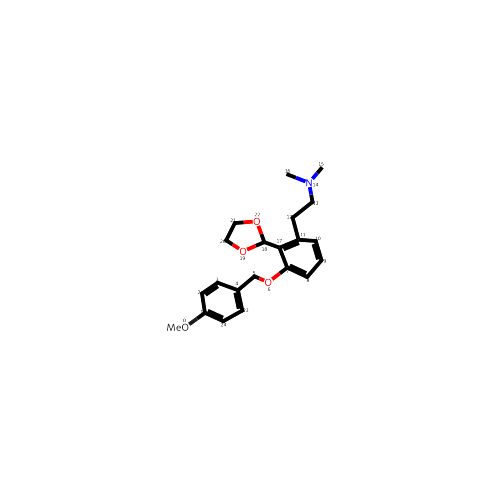 COc1ccc(COc2cccc(CCN(C)C)c2C2OCCO2)cc1